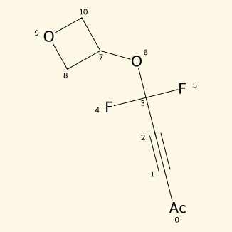 CC(=O)C#CC(F)(F)OC1COC1